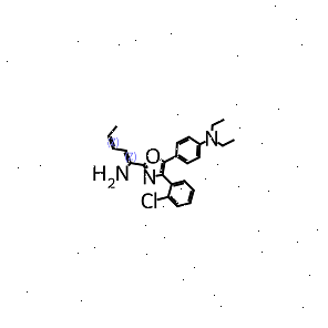 C/C=C\C=C(/N)c1nc(-c2ccccc2Cl)c(-c2ccc(N(CC)CC)cc2)o1